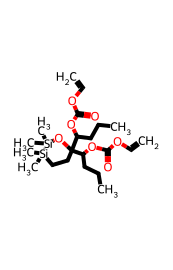 C=COC(=O)OC(CCC)C1(C(CCC)OC(=O)OC=C)CC[Si](C)(C)[Si](C)(C)O1